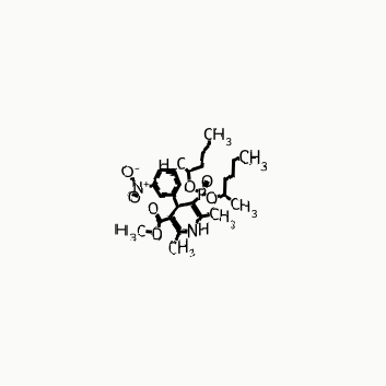 CCCCC(C)OP(=O)(OC(C)CCCC)C1=C(C)NC(C)=C(C(=O)OC)C1c1cccc([N+](=O)[O-])c1